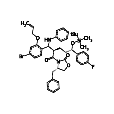 C=CCOc1cc(Br)ccc1C(Nc1ccccc1)[C@@H](CC[C@H](O[Si](C)(C)C(C)(C)C)c1ccc(F)cc1)C(=O)N1C(=O)OC[C@@H]1Cc1ccccc1